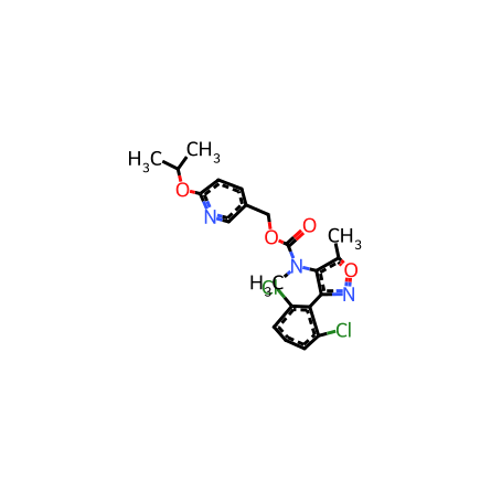 Cc1onc(-c2c(Cl)cccc2Cl)c1N(C)C(=O)OCc1ccc(OC(C)C)nc1